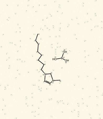 CCCCCCCCN1C=CN(C)C1.OB(O)O